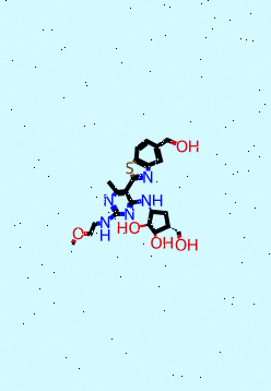 COCCNc1nc(C)c(-c2nc3cc(CO)ccc3s2)c(N[C@@H]2C[C@H](CO)[C@@H](O)[C@H]2O)n1